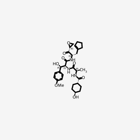 COc1ccc([C@@H](O)[C@H](NC(=O)[C@@H](C)NC(=O)[C@H]2CC[C@H](O)CC2)C(=O)N[C@@H](CC2=CCCC2)C(=O)[C@H]2CO2)cc1